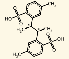 Cc1ccc(S(=O)(=O)O)c([C@H](C)[C@@H](C)c2cc(C)ccc2S(=O)(=O)O)c1